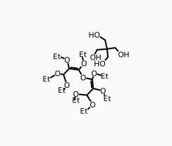 CCO/C(O/C(OCC)=C(/OCC)C(OCC)OCC)=C(\OCC)C(OCC)OCC.OCC(CO)(CO)CO